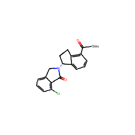 COC(=O)c1cccc2c1CC[C@H]2N1Cc2cccc(Cl)c2C1=O